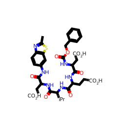 Cc1nc2ccc(NC(=O)C(CC(=O)O)NC(=O)C(NC(=O)C(CCC(=O)O)NC(=O)C(CC(=O)O)NC(=O)OCc3ccccc3)C(C)C)cc2s1